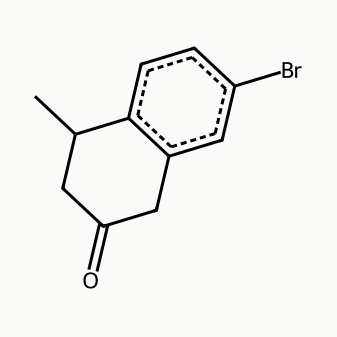 CC1CC(=O)Cc2cc(Br)ccc21